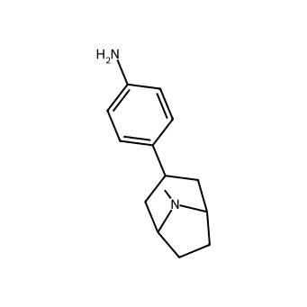 CN1C2CCC1CC(c1ccc(N)cc1)C2